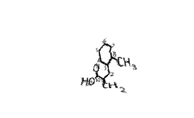 C=C(CC1CCCCC1C)C(=O)O